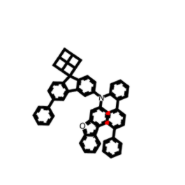 c1ccc(-c2ccc(-c3ccccc3N(c3ccc4c(c3)-c3cc(-c5ccccc5)ccc3C43C4CC5CC6CC3C564)c3ccc4c(c3)oc3ccccc34)cc2)cc1